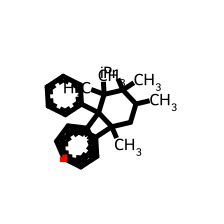 CC(C)C1(C)C(C)CC(C)(c2ccccc2)C(c2ccccc2)(c2ccccc2)C1(C)C